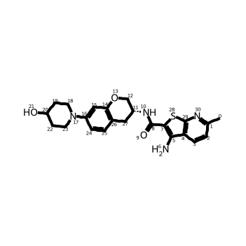 Cc1ccc2c(N)c(C(=O)N[C@H]3COc4cc(N5CCC(O)CC5)ccc4C3)sc2n1